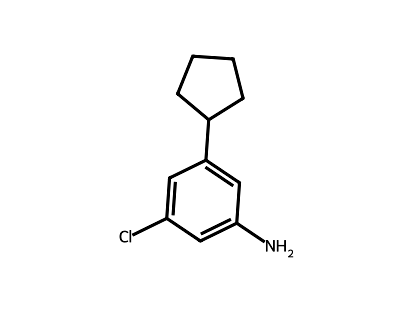 Nc1cc(Cl)cc(C2CCCC2)c1